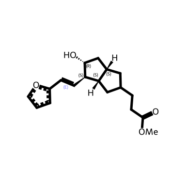 COC(=O)CCC1C[C@H]2C[C@@H](O)[C@H](/C=C/c3ccco3)[C@H]2C1